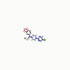 C[C@@H](c1ccc2c(c1)OCO2)N1CCN(c2ncc(Br)cn2)CC1